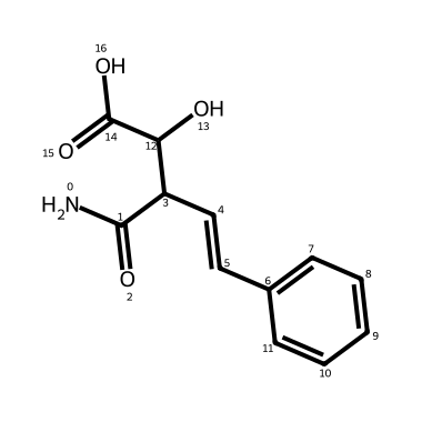 NC(=O)C(C=Cc1ccccc1)C(O)C(=O)O